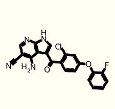 N#Cc1cnc2[nH]cc(C(=O)c3ccc(Oc4ccccc4F)cc3Cl)c2c1N